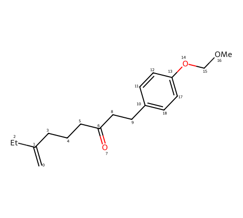 C=C(CC)CCCC(=O)CCc1ccc(OCOC)cc1